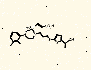 Cc1cccc(N2CCN(CCCSc3ccc(C(C)O)s3)CC2)c1C.O=C(O)C=CC(=O)O